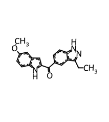 CCc1n[nH]c2ccc(C(=O)c3cc4cc(OC)ccc4[nH]3)cc12